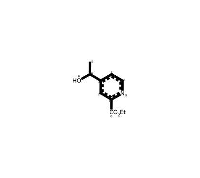 CCOC(=O)c1cc(C(C)O)ccn1